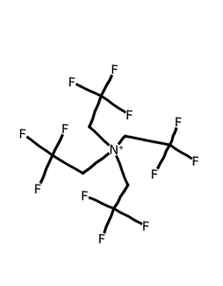 FC(F)(F)C[N+](CC(F)(F)F)(CC(F)(F)F)CC(F)(F)F